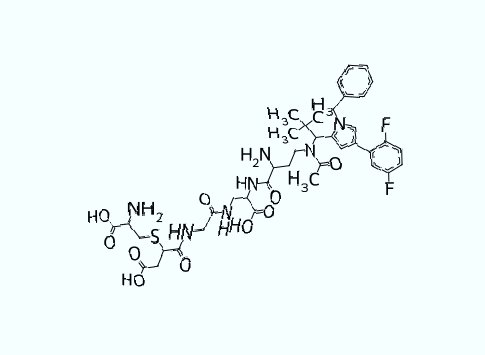 CC(=O)N(CCC(N)C(=O)NC(CNC(=O)CNC(=O)C(CC(=O)O)SCC(N)C(=O)O)C(=O)O)C(c1cc(-c2cc(F)ccc2F)cn1Cc1ccccc1)C(C)(C)C